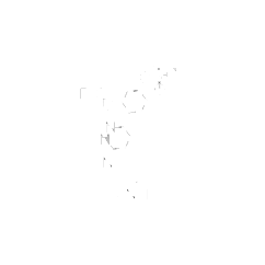 CN(c1ccc(-c2ccc(OS(=O)(=O)C(F)(F)F)cc2OC(F)(F)F)nn1)C1CC(C)(C)NC(C)(C)C1